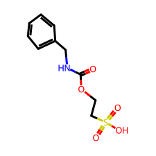 O=C(NCc1ccccc1)OCCS(=O)(=O)O